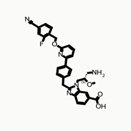 CO[C@@H](CN)Cn1c(Cc2ccc(-c3cccc(OCc4ccc(C#N)cc4F)n3)cc2)nc2ccc(C(=O)O)cc21